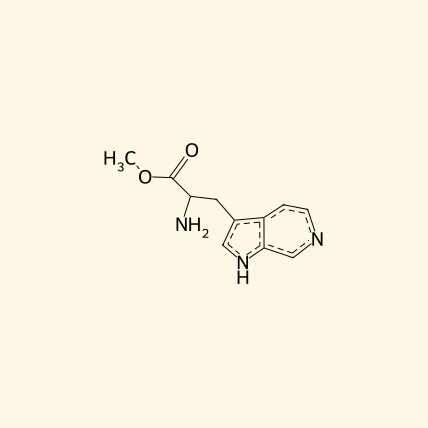 COC(=O)C(N)Cc1c[nH]c2cnccc12